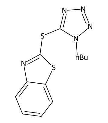 CCCCn1nnnc1Sc1nc2ccccc2s1